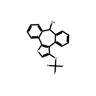 OC1c2ccccc2-c2scc(OC(F)(F)F)c2-c2ccccc21